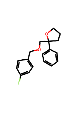 Fc1ccc(COCC2(c3ccccc3)CCCO2)cc1